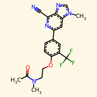 CC(=O)N(C)CCOc1ccc(-c2cc3c(ncn3C)c(C#N)n2)cc1C(F)(F)F